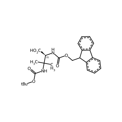 CC(C)(C)OC(=O)NC(C)(C)[C@H](NC(=O)OCC1c2ccccc2-c2ccccc21)C(=O)O